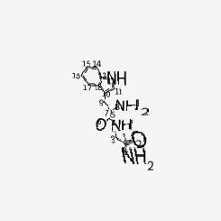 NC(=O)CNC(=O)C(N)Cc1c[nH]c2ccccc12